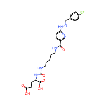 O=C(O)CCC(NC(=O)NCCCCCNC(=O)c1ccc(N/N=C/c2ccc([18F])cc2)nc1)C(=O)O